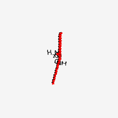 CCCCCCCCCCCCCCCCCCNC(=O)CCCCCN(CCCCCCCCCCCCCCCCCC)C(N)=O